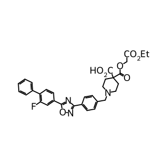 CCOC(=O)COC(=O)C1(C(=O)O)CCN(Cc2ccc(-c3noc(-c4ccc(-c5ccccc5)c(F)c4)n3)cc2)CC1